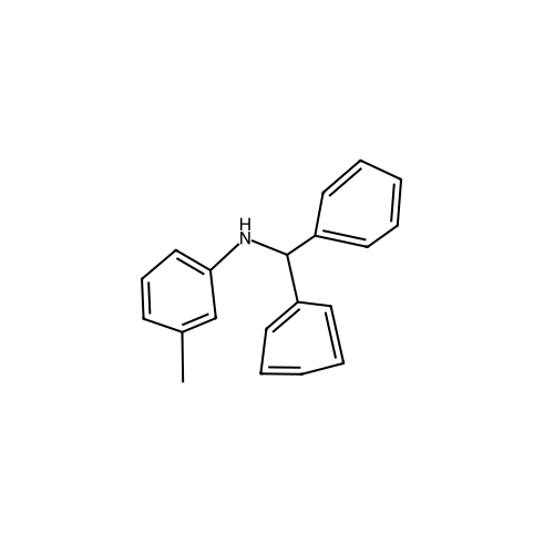 Cc1cccc(NC(c2ccccc2)c2ccccc2)c1